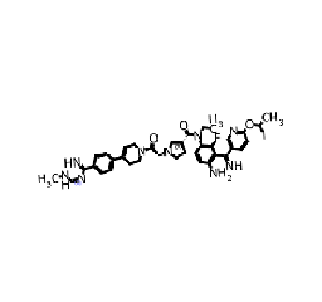 CCN(C(=O)[C@@H]1CCN(CC(=O)N2CC=C(c3ccc(C(=N)/N=C\NC)cc3)CC2)C1)c1ccc(N)c(C(=N)c2ccc(OC(C)I)nc2)c1F